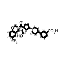 O=C(O)c1cccc(C2CCN([C@@H]3CC[C@](CCO)(C(=O)N4COc5ccc(C(F)(F)F)cc5C4)C3)CC2)c1